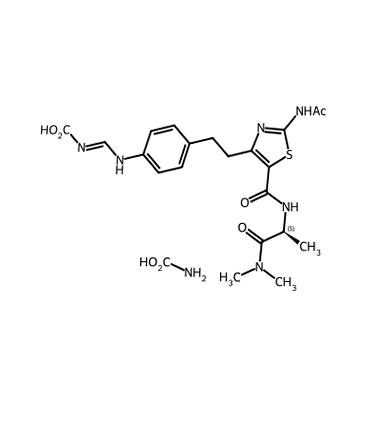 CC(=O)Nc1nc(CCc2ccc(NC=NC(=O)O)cc2)c(C(=O)N[C@@H](C)C(=O)N(C)C)s1.NC(=O)O